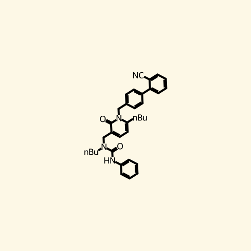 CCCCc1ccc(CN(CCCC)C(=O)Nc2ccccc2)c(=O)n1Cc1ccc(-c2ccccc2C#N)cc1